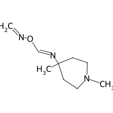 C=NO/C=N/C1(C)CCN(C)CC1